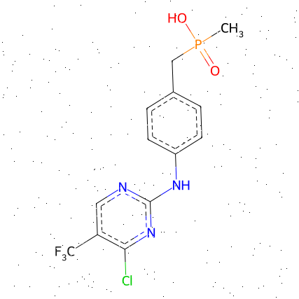 CP(=O)(O)Cc1ccc(Nc2ncc(C(F)(F)F)c(Cl)n2)cc1